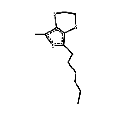 CCCCCCc1sc(C)c2c1SCCS2